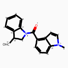 Cn1ccc2c(C(=O)N3CC(C=O)c4ccccc43)cccc21